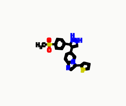 CS(=O)(=O)c1ccc(C2NNC=C2c2ccc3ncc(-c4cccs4)n3c2)cc1